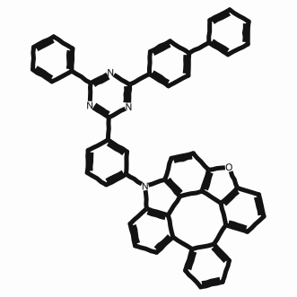 c1ccc(-c2ccc(-c3nc(-c4ccccc4)nc(-c4cccc(-n5c6cccc7c8ccccc8c8cccc9oc%10ccc5c(c%10c98)c76)c4)n3)cc2)cc1